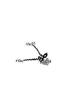 CCCCCCCCCCCCCCCCCCCCC=CCCc1ccccc1N=C(CCCC)C(CCCC)=Nc1ccccc1CCC=CCCCCCCCCCCCCCCCCCCCC.[Pd]